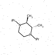 CC(C)N1CCN(C(C)C)[C@@H](C)[C@@H]1C